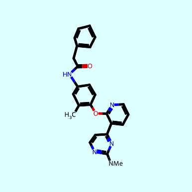 CNc1nccc(-c2cccnc2Oc2ccc(NC(=O)Cc3ccccc3)cc2C)n1